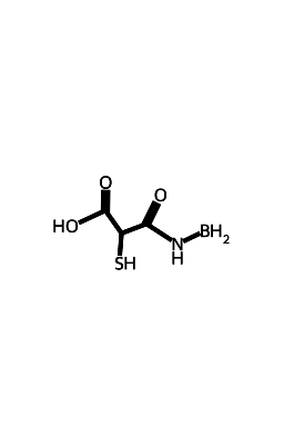 BNC(=O)C(S)C(=O)O